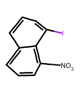 O=[N+]([O-])c1cccc2cccc(I)c12